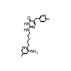 Cc1cnc(CCCCCNc2ncc(Cc3ccc(C)nc3)c(=O)[nH]2)c(N)c1